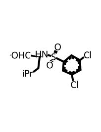 CC(C)C[C@@H]([C]=O)NS(=O)(=O)c1cc(Cl)cc(Cl)c1